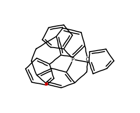 c1ccc(-c2cc3ccc2CCc2ccc(c(P(c4ccccc4)c4ccccc4)c2)CC3)cc1